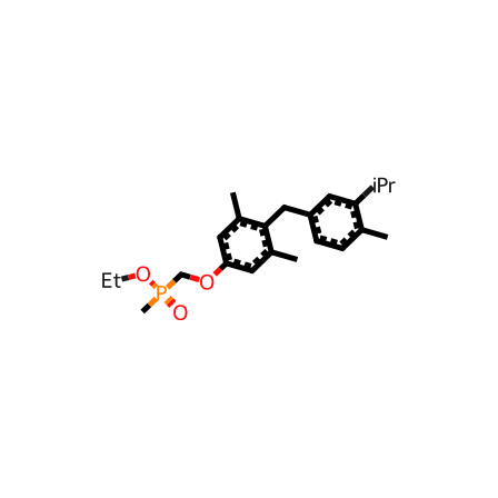 CCOP(C)(=O)COc1cc(C)c(Cc2ccc(C)c(C(C)C)c2)c(C)c1